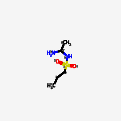 CC[CH]S(=O)(=O)NC(C)N